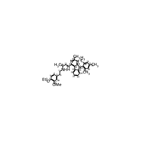 CCOc1ccc(CCNC(C)CNc2nc(C)nc3c2c2ccccc2n3-c2c(C)cc(C)cc2C)cc1OC